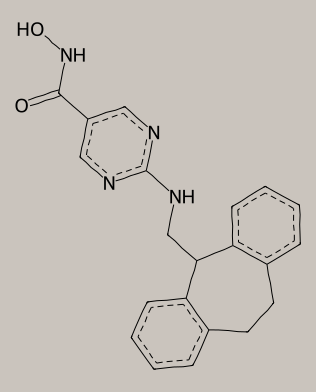 O=C(NO)c1cnc(NCC2c3ccccc3CCc3ccccc32)nc1